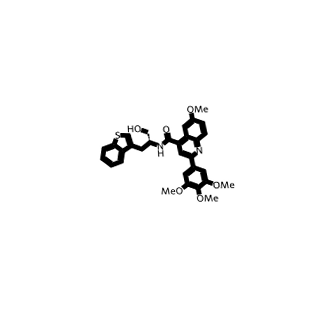 COc1ccc2nc(-c3cc(OC)c(OC)c(OC)c3)cc(C(=O)N[C@@H](CO)Cc3csc4ccccc34)c2c1